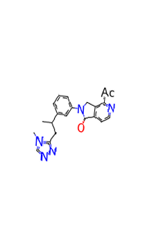 CC(=O)c1nccc2c1CN(c1cccc(C(C)Cc3nncn3C)c1)C2=O